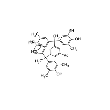 CC(=O)c1cc(C(C)(c2ccc(O)cc2)c2cc(C)c(O)c(C)c2)cc(C(C)(c2cc(C)c(O)c(C)c2)c2cc(C)c(O)c(S)c2)c1